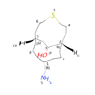 N[C@H]1C[C@H]2CSC[C@@H](C1)C2O